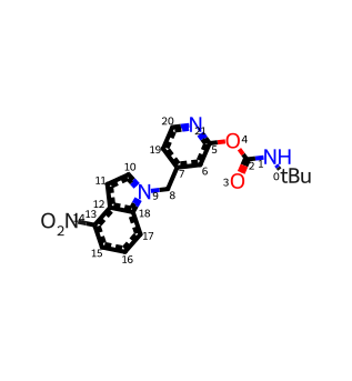 CC(C)(C)NC(=O)Oc1cc(Cn2ccc3c([N+](=O)[O-])cccc32)ccn1